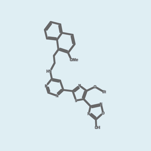 CCOc1nc(-c2cc(NCCc3c(OC)ccc4ccccc34)ncn2)sc1-c1noc(O)n1